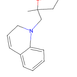 CCCC(C)(O)CN1CC=Cc2ccccc21